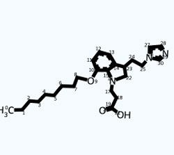 CCCCCCCCCOc1cccc2c1N(CCC(=O)O)CC2CCn1ccnc1